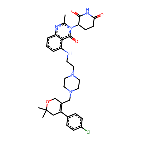 Cc1nc2cccc(NCCN3CCN(CC4=C(c5ccc(Cl)cc5)CC(C)(C)OC4)CC3)c2c(=O)n1C1CCC(=O)NC1=O